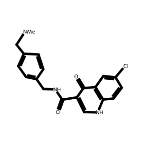 CNCc1ccc(CNC(=O)c2c[nH]c3ccc(Cl)cc3c2=O)cc1